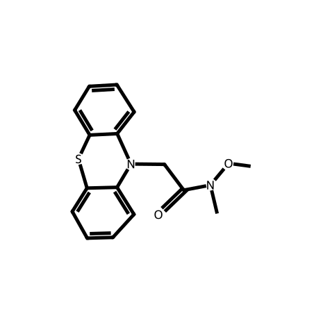 CON(C)C(=O)CN1c2ccccc2Sc2ccccc21